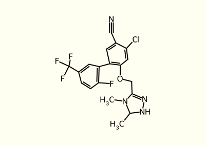 CC1NN=C(COc2cc(Cl)c(C#N)cc2-c2cc(C(F)(F)F)ccc2F)N1C